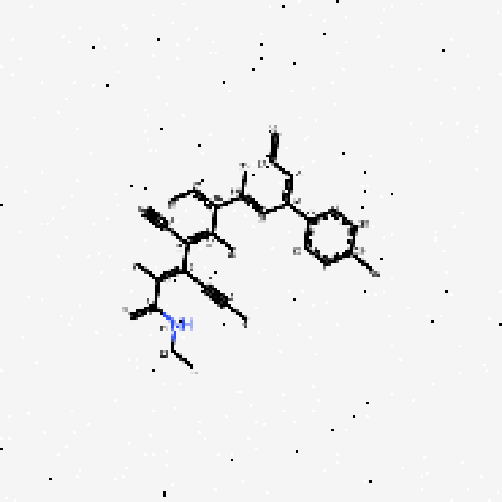 C#CC(/C(C#CC)=C(\C)C(=C)NCC)=C(C)\C(=C/C)C(\C)=C\C(=C/C=C)c1ccc(C)cc1